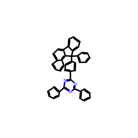 c1ccc(-c2nc(-c3ccccc3)nc(-c3ccc(C4(c5ccccc5)c5ccccc5-c5ccc6ccccc6c54)cc3)n2)cc1